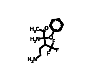 CC(=O)C(N)(Oc1ccccc1)C(CCN)C(F)(F)F